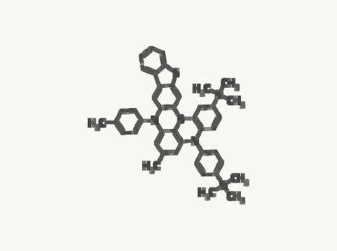 Cc1ccc(N2c3cc4c(cc3B3c5cc([Si](C)(C)C)ccc5N(c5ccc([Si](C)(C)C)cc5)c5cc(C)cc2c53)sc2ccccc24)cc1